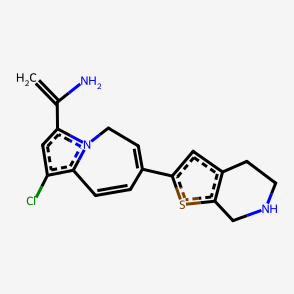 C=C(N)c1cc(Cl)c2n1CC=C(c1cc3c(s1)CNCC3)C=C2